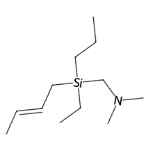 CC=CC[Si](CC)(CCC)CN(C)C